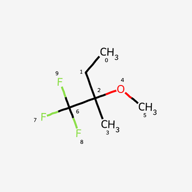 CCC(C)(OC)C(F)(F)F